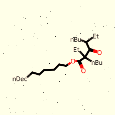 CCCCCCCCCCCCCCCCOC(=O)C(CC)(CCCC)C(=O)C(CC)CCCC